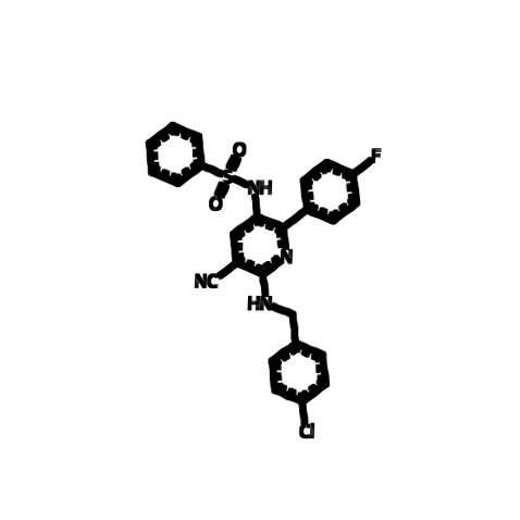 N#Cc1cc(NS(=O)(=O)c2ccccc2)c(-c2ccc(F)cc2)nc1NCc1ccc(Cl)cc1